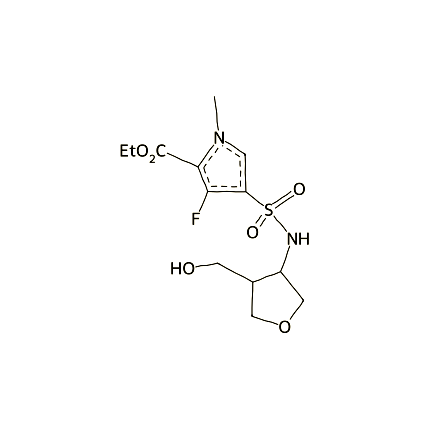 CCOC(=O)c1c(F)c(S(=O)(=O)NC2COCC2CO)cn1C